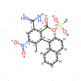 Cc1c([N+](=O)[O-])cc(C(=N)N)c(C(=O)OS(C)(=O)=O)c1-c1cccc2ccccc12